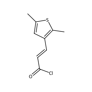 Cc1cc(C=CC(=O)Cl)c(C)s1